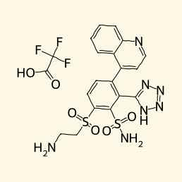 NCCS(=O)(=O)c1ccc(-c2ccnc3ccccc23)c(-c2nnn[nH]2)c1S(N)(=O)=O.O=C(O)C(F)(F)F